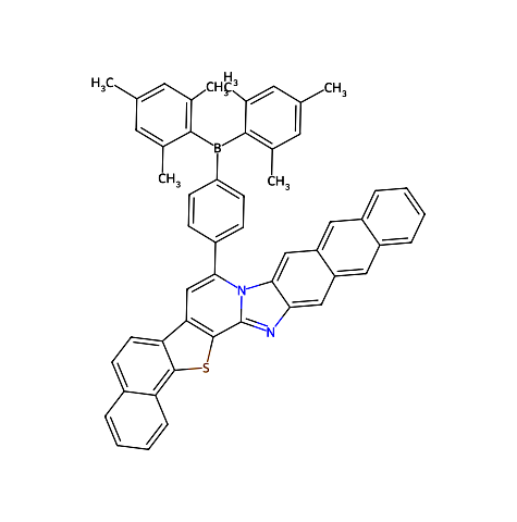 Cc1cc(C)c(B(c2ccc(-c3cc4c5ccc6ccccc6c5sc4c4nc5cc6cc7ccccc7cc6cc5n34)cc2)c2c(C)cc(C)cc2C)c(C)c1